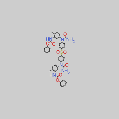 Cc1ccc(N(C(N)=O)c2ccc(S(=O)(=O)c3ccc(N(C(N)=O)c4ccc(C)c(NC(=O)Oc5ccccc5)c4)cc3)cc2)cc1NC(=O)Oc1ccccc1